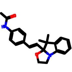 CC(=O)Nc1ccc(C=CC23OCCN2c2ccccc2C3(C)C)cc1